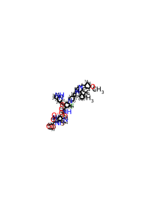 COc1ccc(CN2CCN(C3CC4(CCN(c5cc(Oc6cnc7[nH]ccc7c6)c(C(=O)NS(=O)(=O)c6cc([N+](=O)[O-])c(NCC7COCCO7)c7scnc67)cc5F)CC4)C3)C(c3ccccc3C(C)C)C2)cc1